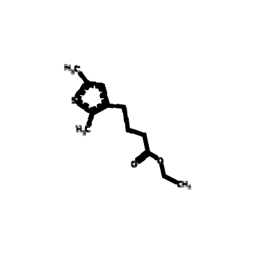 CCOC(=O)CCCc1cc(C)sc1C